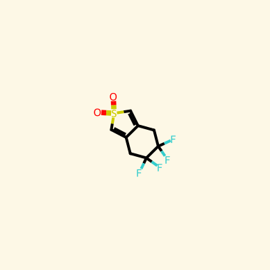 O=S1(=O)C=C2CC(F)(F)C(F)(F)CC2=C1